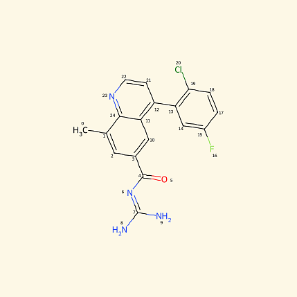 Cc1cc(C(=O)N=C(N)N)cc2c(-c3cc(F)ccc3Cl)ccnc12